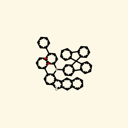 c1ccc(-c2ccc(N(c3ccc4c(c3)C3(c5ccccc5-c5ccccc53)c3ccccc3-4)c3c(-c4ccccc4)ccc4oc5cc6ccccc6cc5c34)cc2)cc1